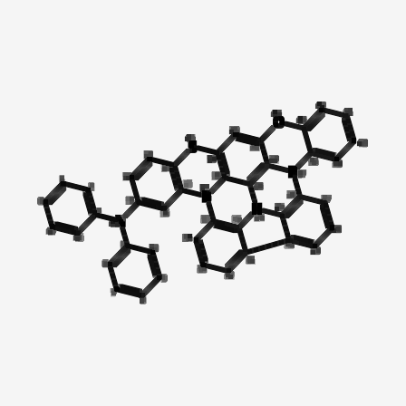 c1ccc(N(c2ccccc2)c2ccc3c(c2)B2c4c(cc5c6c4-n4c7c(cccc7c7cccc2c74)B6c2ccccc2O5)S3)cc1